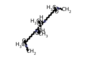 C=CC/C=C/N(C)C(=O)CCCCCCCC/C=C/C(CSSCC(/C=C/CCCCCCCCC(=O)N(C)/C=C/CC=C)NC(C)=O)NC(C)=O